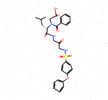 CC(C)C[C@@H](C(=O)NCC(=O)CNS(=O)(=O)c1ccc(Oc2ccccc2)cc1)N(CC(=O)O)C(=O)c1ccccc1